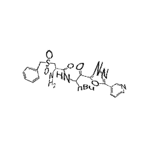 CCCCC(NC(=O)C(N)CS(=O)(=O)Cc1ccccc1)C(=O)c1nnc(-c2cccnc2)o1